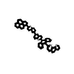 c1cnc2c(c1)ccc1ccc(-c3c4ccccc4c(-c4ccc5cc(-c6ccc7nc(-c8ccc9ccc%10cccc%11ccc8c9c%10%11)ccc7c6)ccc5n4)c4ccccc34)nc12